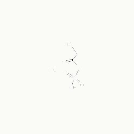 CS(=O)(=O)OC(=O)CO.Cl